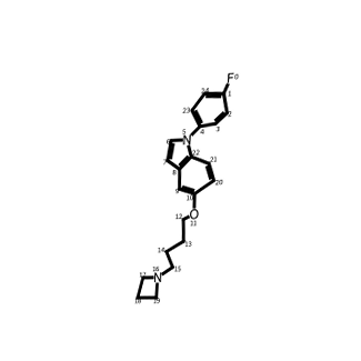 Fc1ccc(-n2ccc3cc(OCCCCN4CCC4)ccc32)cc1